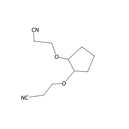 N#CCCOC1CCCC1OCCC#N